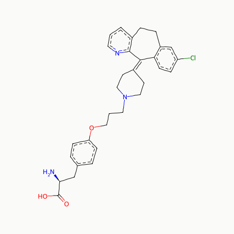 N[C@@H](Cc1ccc(OCCCN2CCC(=C3c4ccc(Cl)cc4CCc4cccnc43)CC2)cc1)C(=O)O